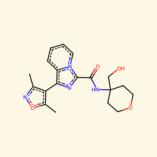 Cc1noc(C)c1-c1nc(C(=O)NC2(CO)CCOCC2)n2ccccc12